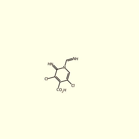 N=Cn1cc(Cl)c(C(=O)O)c(Cl)c1=N